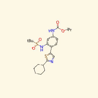 CC(C)OC(=O)Nc1ccc(-c2cnc(C3CCCCC3)s2)c(NS(=O)(=O)C(C)(C)C)c1